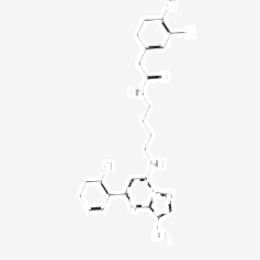 Bc1cnn2c(NCCCCNC(=O)CC3=CC(Cl)=C(Cl)CC3)cc(C3=C(Cl)CCC=C3)nc12